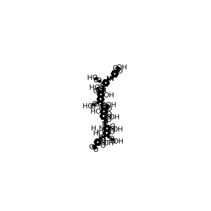 Nc1c(N=Nc2ccc3c(O)c(N=Nc4cc5c(O)c(N=Nc6ccc(N=Nc7ccc(S(=O)(=O)O)cc7)cc6SOOO)c(S(=O)(=O)O)cc5cc4SOOO)c(S(=O)(=O)O)cc3c2S(=O)(=O)O)cc(S(=O)(=O)O)c2cc(SOOO)c(N=Nc3ccc([N+](=O)[O-])cc3S(=O)(=O)O)c(O)c12